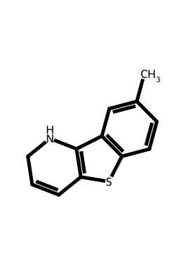 Cc1ccc2sc3c(c2c1)NCC=C3